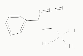 C[Si](C)(C)OC[C@@H](N=[N+]=[N-])c1ccccc1